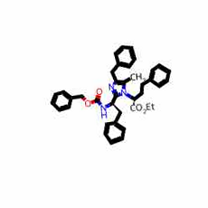 CCOC(=O)[C@@H](CCc1ccccc1)n1c([C@@H](Cc2ccccc2)NC(=O)OCc2ccccc2)nc(Cc2ccccc2)c1C